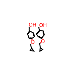 OCc1ccc(OCC2CC2)cc1.OCc1ccc(OCC2CC2)cc1